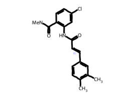 CNC(=O)c1ccc(Cl)cc1NC(=O)/C=C/c1ccc(C)c(C)c1